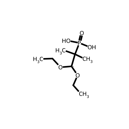 CCO[C](OCC)C(C)(C)P(=O)(O)O